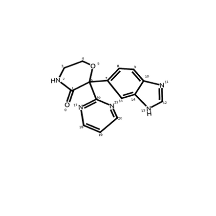 O=C1NCCOC1(c1ccc2nc[nH]c2c1)c1ncccn1